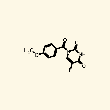 COc1ccc(C(=O)n2cc(F)c(=O)[nH]c2=O)cc1